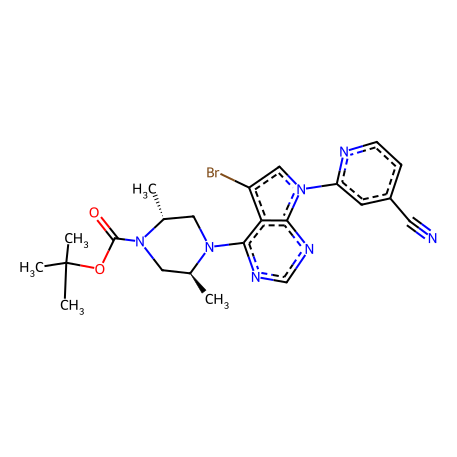 C[C@@H]1CN(c2ncnc3c2c(Br)cn3-c2cc(C#N)ccn2)[C@@H](C)CN1C(=O)OC(C)(C)C